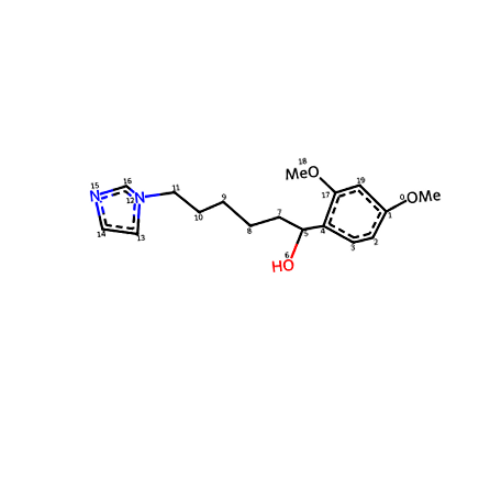 COc1ccc(C(O)CCCCCn2ccnc2)c(OC)c1